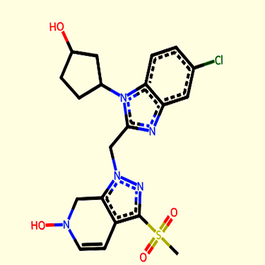 CS(=O)(=O)c1nn(Cc2nc3cc(Cl)ccc3n2C2CCC(O)C2)c2c1C=CN(O)C2